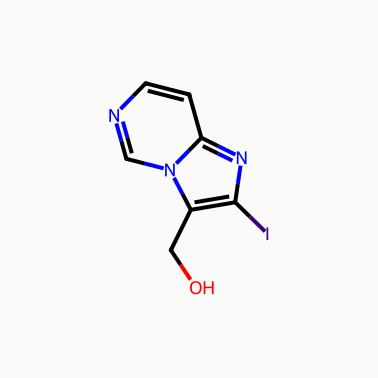 OCc1c(I)nc2ccncn12